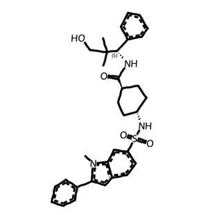 Cn1c(-c2ccccc2)cc2ccc(S(=O)(=O)N[C@H]3CC[C@H](C(=O)N[C@@H](c4ccccc4)C(C)(C)CO)CC3)cc21